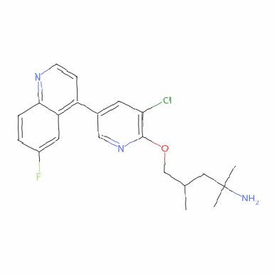 CC(COc1ncc(-c2ccnc3ccc(F)cc23)cc1Cl)CC(C)(C)N